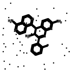 CC1C(c2ccccc2F)=Nc2nc(N)ccc2C1c1nccc2c(N)nccc12